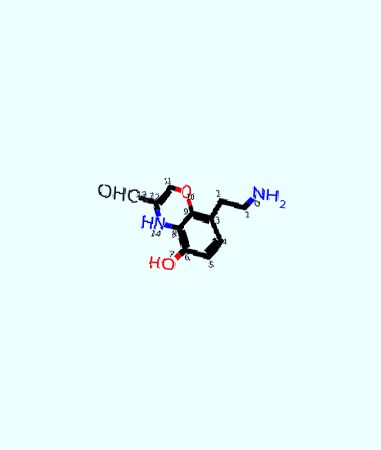 NCCc1ccc(O)c2c1OC=C(C=O)N2